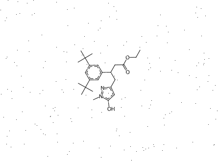 CCOC(=O)CC(Cc1cc(O)n(C)n1)c1cc(C(C)(C)C)cc(C(C)(C)C)c1